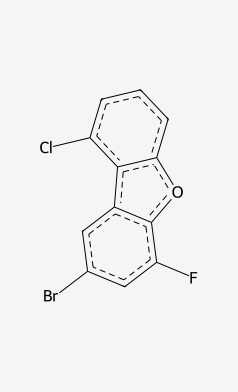 Fc1cc(Br)cc2c1oc1cccc(Cl)c12